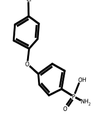 NP(=O)(O)c1ccc(Oc2ccc(Cl)cc2)cc1